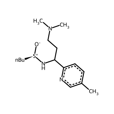 CCCC[S@@+]([O-])NC(CCN(C)C)c1ccc(C)cn1